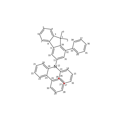 CC1(C)c2ccccc2-c2cc(N(c3ccccc3)c3ccccc3-c3ccccc3)cc(-c3ccccc3)c21